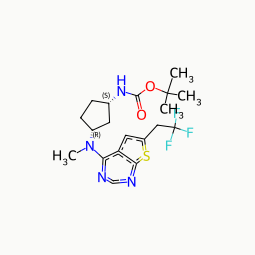 CN(c1ncnc2sc(CC(F)(F)F)cc12)[C@@H]1CC[C@H](NC(=O)OC(C)(C)C)C1